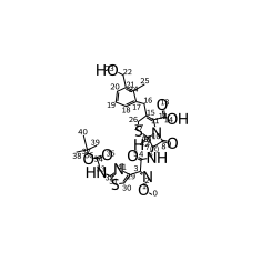 CON=C(C(=O)N[C@@H]1C(=O)N2C(C(=O)O)=C(Cc3cccc(CO)c3C)CS[C@H]12)c1csc(NC(=O)OC(C)(C)C)n1